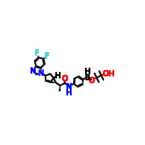 C[C@H](C(=O)Nc1ccc(BOC(C)(C)C(C)(C)O)cc1)[C@H]1C2=C[C@@H](n3cnc4cc(F)c(F)cc43)C[C@@H]21